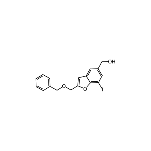 OCc1cc(I)c2oc(COCc3ccccc3)cc2c1